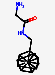 NCC(=O)NC[C]12[CH]3[CH]4[CH]5[CH]1[Fe]45321678[CH]2[CH]1[CH]6[CH]7[CH]28